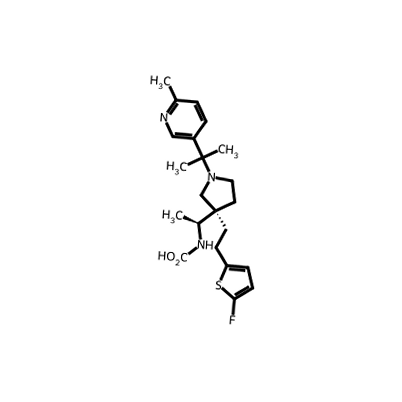 Cc1ccc(C(C)(C)N2CC[C@@](CCc3ccc(F)s3)([C@H](C)NC(=O)O)C2)cn1